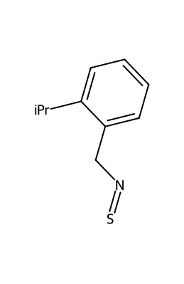 CC(C)c1ccccc1CN=S